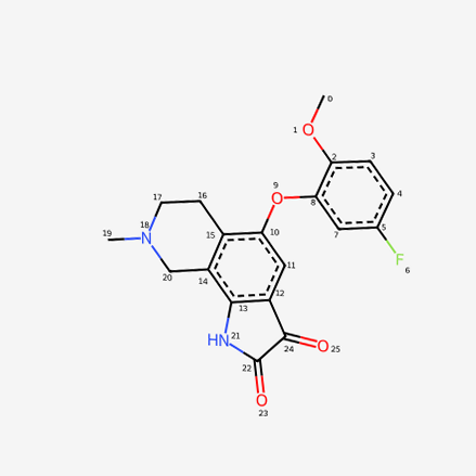 COc1ccc(F)cc1Oc1cc2c(c3c1CCN(C)C3)NC(=O)C2=O